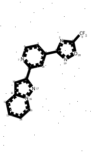 FC(F)(F)c1nc(-c2ccnc(-c3cc4ccccn4n3)c2)no1